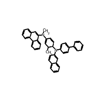 CC1C=C(N(C)c2cc3ccccc3c3ccccc23)C=CC1N(c1ccc(-c2ccccc2)cc1)c1ccc2ccccc2c1